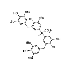 CC(C)(C)c1cc(C(C)(C(=O)O)c2cc(Cc3cc(C(C)(C)C)c(O)c(C(C)(C)C)c3)c(O)c(C(C)(C)C)c2)cc(Cc2cc(C(C)(C)C)c(O)c(C(C)(C)C)c2)c1O